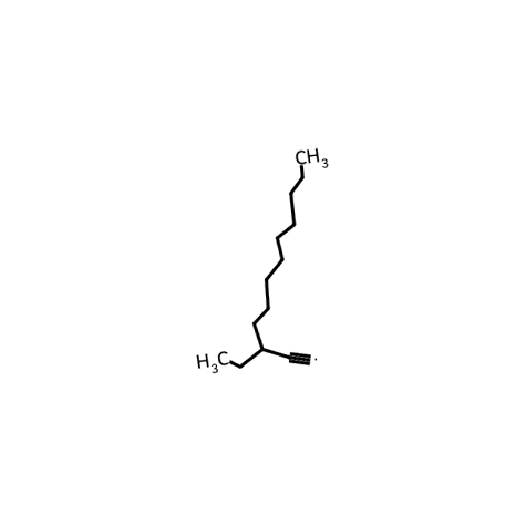 [C]#CC(CC)CCCCCCCCC